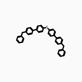 c1ccc(Cc2ccc(-c3ccc(Sc4ccc(-c5ccc(Cc6ccccc6)cc5)cc4)cc3)cc2)cc1